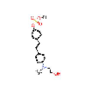 CCOS(=O)(=O)Oc1ccc(/C=C/c2ccc(N(C)CCO)cc2)cc1